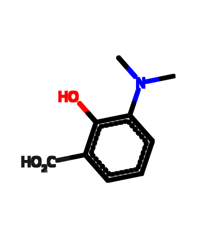 CN(C)c1cccc(C(=O)O)c1O